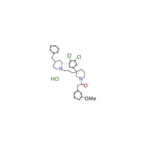 COc1cccc(CC(=O)N2CCCC(CCCN3CCC(Cc4ccccc4)CC3)(c3ccc(Cl)c(Cl)c3)C2)c1.Cl